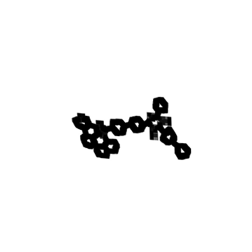 c1ccc(C2=NC(c3ccc(-c4ccc(-c5nc6c7cnccc7c7ccccc7c6n5-c5cccc6ccccc56)cc4)cc3)NC(c3ccc(-c4ccccc4)cc3)N2)cc1